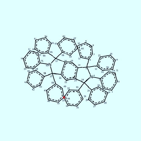 c1ccc(N2C(c3ccccc3)(c3ccccc3)c3cc4c(cc3C2(c2ccccc2)c2ccccc2)C(c2ccccc2)(c2ccccc2)N(c2ccccc2)C4(c2ccccc2)c2ccccc2)cc1